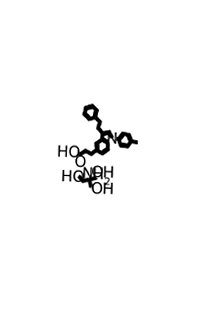 Cc1ccc(-n2cc(CCc3ccccc3)c3cc(CCC(=O)O)ccc32)cc1.NC(CO)(CO)CO